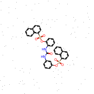 O=C(Nc1cccc(OS(=O)(=O)c2cccc3ccccc23)c1)Nc1ccccc1OS(=O)(=O)c1cccc2ccccc12